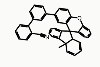 CC12C=CC=CC1C1(c3ccccc3Oc3ccc(-c4cccc(-c5ccccc5C#N)c4)cc31)c1ccccc12